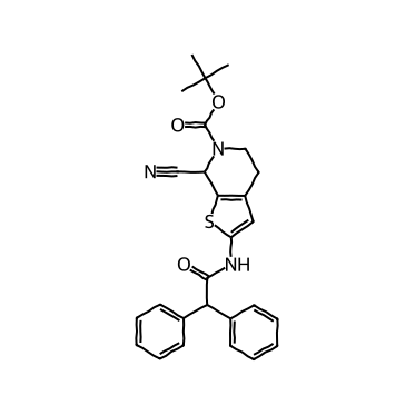 CC(C)(C)OC(=O)N1CCc2cc(NC(=O)C(c3ccccc3)c3ccccc3)sc2C1C#N